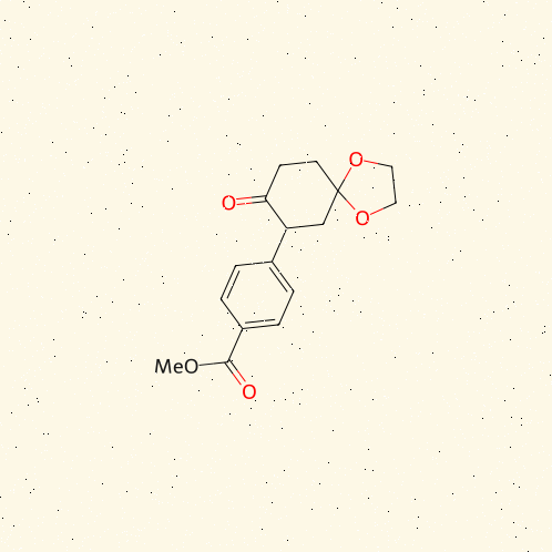 COC(=O)c1ccc(C2CC3(CCC2=O)OCCO3)cc1